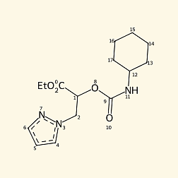 CCOC(=O)C(Cn1cccn1)OC(=O)NC1CCCCC1